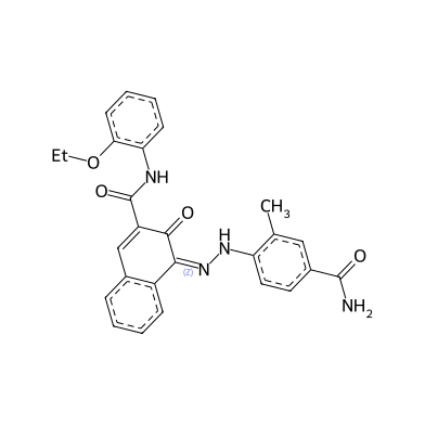 CCOc1ccccc1NC(=O)C1=Cc2ccccc2/C(=N/Nc2ccc(C(N)=O)cc2C)C1=O